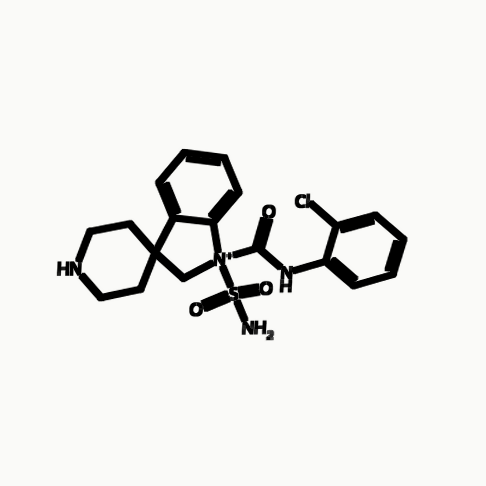 NS(=O)(=O)[N+]1(C(=O)Nc2ccccc2Cl)CC2(CCNCC2)c2ccccc21